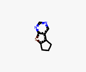 c1ncc2c3c(sc2n1)CCC3